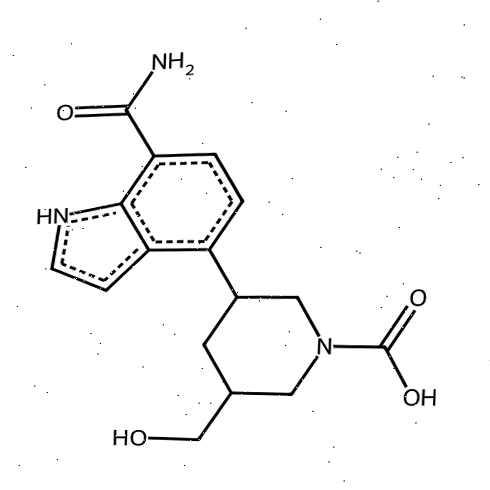 NC(=O)c1ccc(C2CC(CO)CN(C(=O)O)C2)c2cc[nH]c12